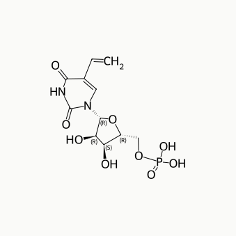 C=Cc1cn([C@@H]2O[C@H](COP(=O)(O)O)[C@@H](O)[C@H]2O)c(=O)[nH]c1=O